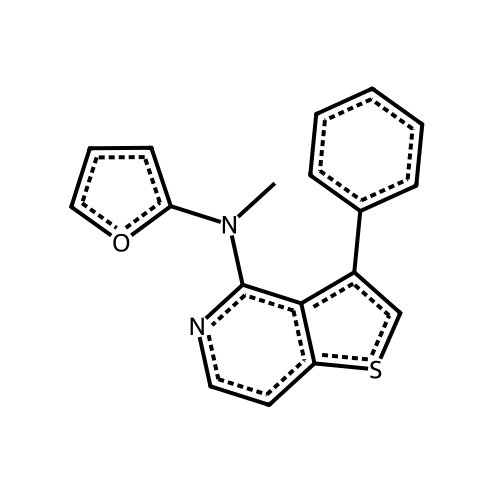 CN(c1ccco1)c1nccc2scc(-c3ccccc3)c12